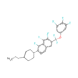 CCCC1CCC(c2ccc3cc(C(F)(F)Oc4cc(F)c(F)c(F)c4)c(F)c(F)c3c2F)CC1